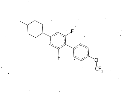 CC1CCC(c2cc(F)c(-c3ccc(OC(F)(F)F)cc3)c(F)c2)CC1